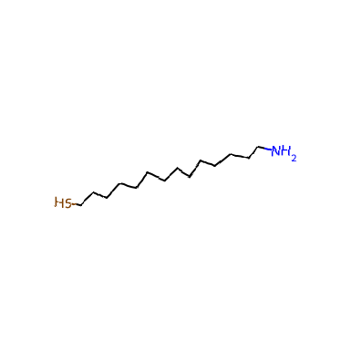 NCCCCCCCCCCCCCCS